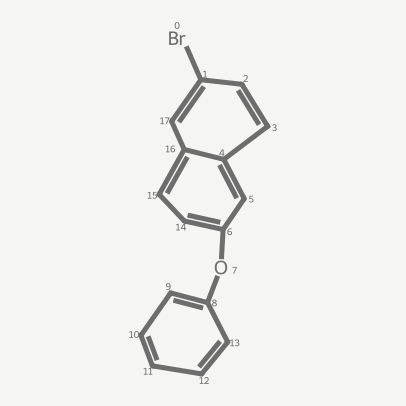 Brc1ccc2cc(Oc3ccccc3)ccc2c1